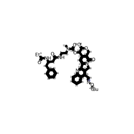 CCC(=O)NC(CC(=O)NCCN(C)C(=O)OC1C(=O)OCc2c1cc1n(c2=O)Cc2c-1nc1ccccc1c2/C=N/OC(C)(C)C)Cc1ccccc1